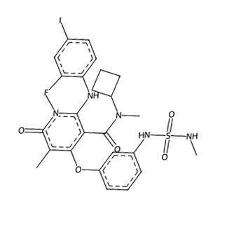 CNS(=O)(=O)Nc1cccc(Oc2c(C(=O)N(C)C3CCC3)c(Nc3ccc(I)cc3F)n(C)c(=O)c2C)c1